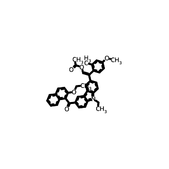 CCOc1ccc2ccccc2c1C(=O)c1ccc2c(c1)c1cc(C(=COC(C)=O)c3ccc(OC)cc3C)ccc1n2CC